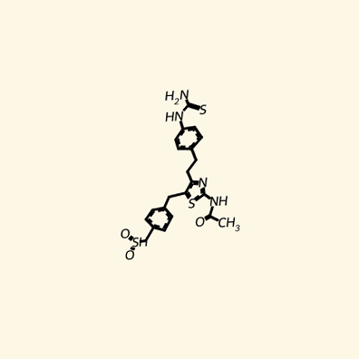 CC(=O)Nc1nc(CCc2ccc(NC(N)=S)cc2)c(Cc2ccc(C[SH](=O)=O)cc2)s1